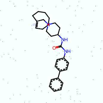 O=C(Nc1ccc(-c2ccccc2)cc1)NC1CCN(C/C2=C\CCCCCC2)CC1